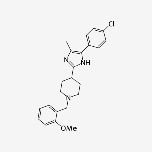 COc1ccccc1CN1CCC(c2nc(C)c(-c3ccc(Cl)cc3)[nH]2)CC1